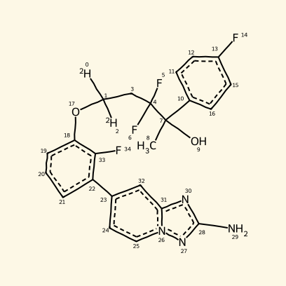 [2H]C([2H])(CC(F)(F)C(C)(O)c1ccc(F)cc1)Oc1cccc(-c2ccn3nc(N)nc3c2)c1F